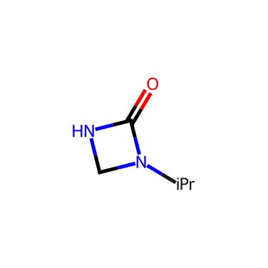 CC(C)N1CNC1=O